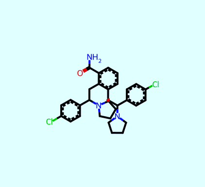 NC(=O)c1cccc(CC(c2ccc(Cl)cc2)N2CCCC2)c1CC(c1ccc(Cl)cc1)N1CCCC1